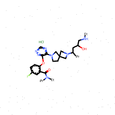 CCNCC(O)CC(C(C)C)N1CC2(CCN(c3ncnnc3Oc3ccc(F)cc3C(=O)N(CC)C(C)C)C2)C1.Cl